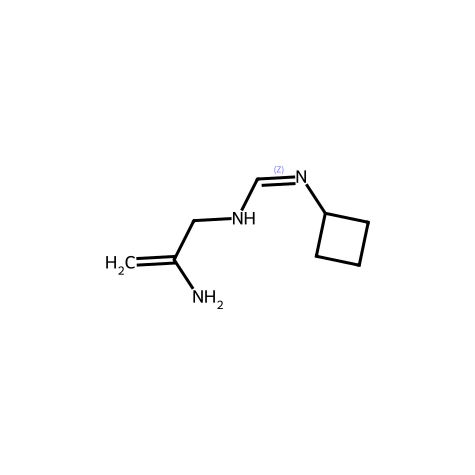 C=C(N)CN/C=N\C1CCC1